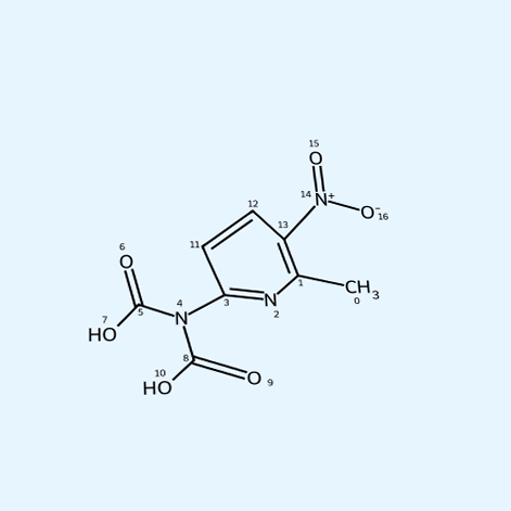 Cc1nc(N(C(=O)O)C(=O)O)ccc1[N+](=O)[O-]